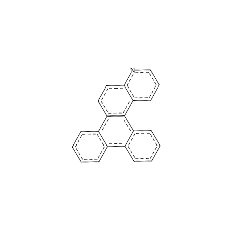 c1ccc2c(c1)c1ccccc1c1c3cccnc3ccc21